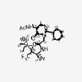 CC(=O)Nc1cnc(-c2ccccc2)n(CC(=O)NC(C(C)C)C(O[Si](C)(C)C(C)(C)C)C(F)(F)F)c1=O